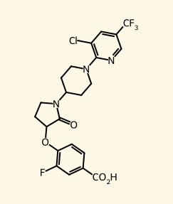 O=C(O)c1ccc(OC2CCN(C3CCN(c4ncc(C(F)(F)F)cc4Cl)CC3)C2=O)c(F)c1